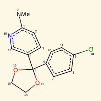 CNc1[c]cc(C2(c3ccc(Cl)cc3)OCCO2)cn1